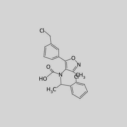 Cc1noc(-c2cccc(CCl)c2)c1N(C(=O)O)C(C)c1ccccc1Cl